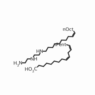 CCCCC/C=C\C/C=C\CCCCCCCC(=O)O.CCCCCCCC/C=C\CCCCCCCCNCCNCCN